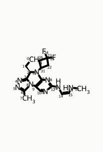 CC[C@@H]1c2nnc(C)n2-c2cnc(N/C=C\NC)nc2N1C1CC(F)(F)C1